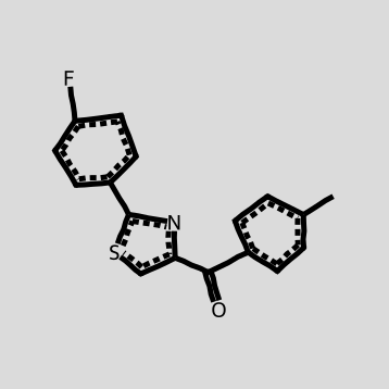 Cc1ccc(C(=O)c2csc(-c3ccc(F)cc3)n2)cc1